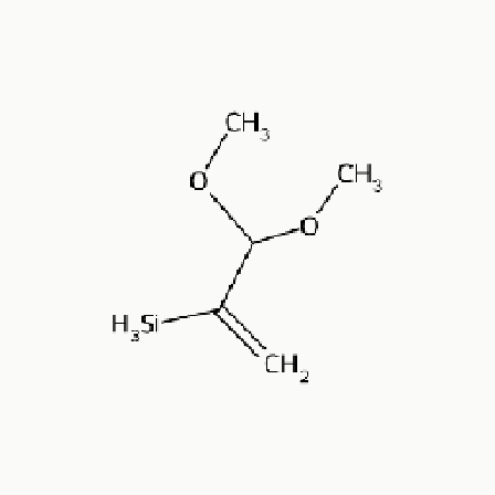 C=C([SiH3])C(OC)OC